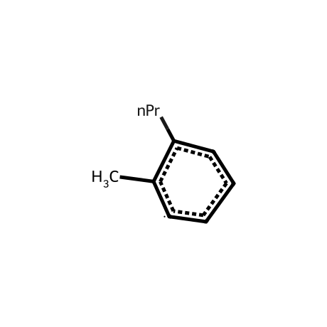 CCCc1ccc[c]c1C